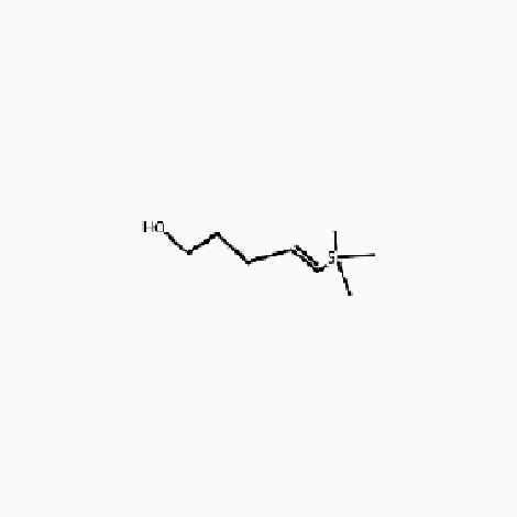 C[Si](C)(C)C=CCCCO